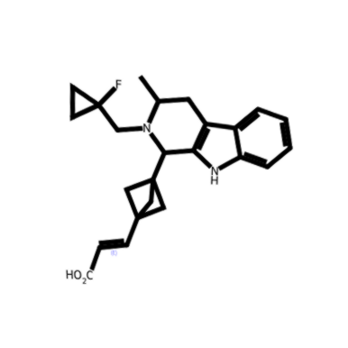 CC1Cc2c([nH]c3ccccc23)C(C23CC(/C=C/C(=O)O)(C2)C3)N1CC1(F)CC1